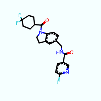 O=C(NCc1ccc2c(c1)CCN2C(=O)C1CCC(F)(F)CC1)c1ccc(F)nc1